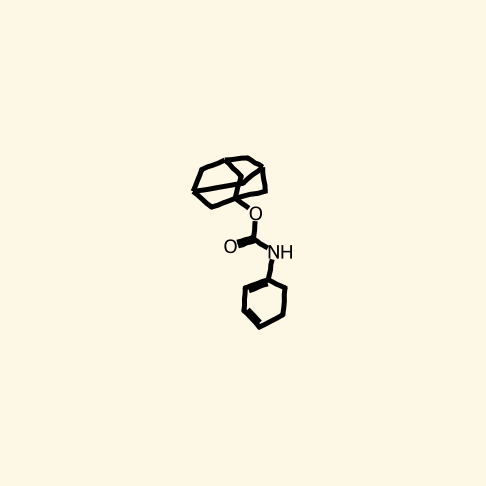 O=C(NC1=CC=CCC1)OC12CC3CC(CC(C3)C1)C2